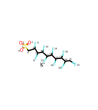 O=S(=O)([O-])CC(F)C(F)C(F)C(F)C(F)C(F)C(F)C(F)CF.[K+]